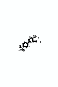 C#Cc1nc(-c2ccc(S(=O)(=O)C(C)C)cc2)cnc1N